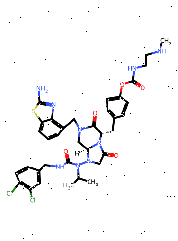 CNCCNC(=O)Oc1ccc(C[C@H]2C(=O)N(Cc3cccc4sc(N)nc34)C[C@H]3N2C(=O)CN3N(C(=O)NCc2ccc(Cl)c(Cl)c2)C(C)C)cc1